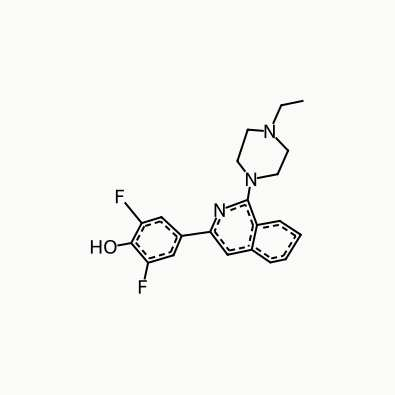 CCN1CCN(c2nc(-c3cc(F)c(O)c(F)c3)cc3ccccc23)CC1